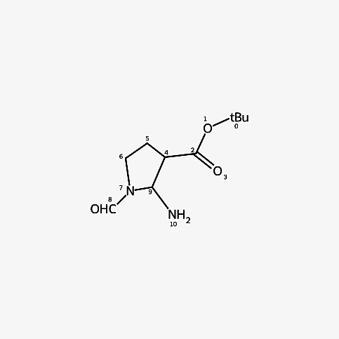 CC(C)(C)OC(=O)C1CCN(C=O)C1N